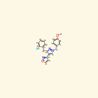 COc1ccc(Cn2cc(-c3ccon3)c(Cc3ccccc3F)n2)cc1